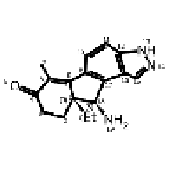 CC[C@@]12CCC(=O)C(C)=C1c1ccc3[nH]ncc3c1[C@H]2N